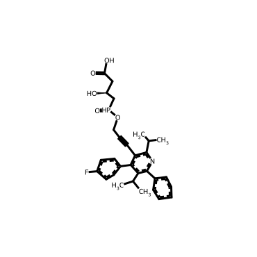 CC(C)c1nc(-c2ccccc2)c(C(C)C)c(-c2ccc(F)cc2)c1C#CCO[PH](=O)C[C@@H](O)CC(=O)O